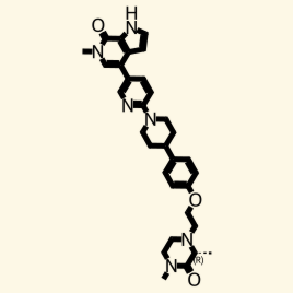 C[C@@H]1C(=O)N(C)CCN1CCOc1ccc(C2CCN(c3ccc(-c4cn(C)c(=O)c5[nH]ccc45)cn3)CC2)cc1